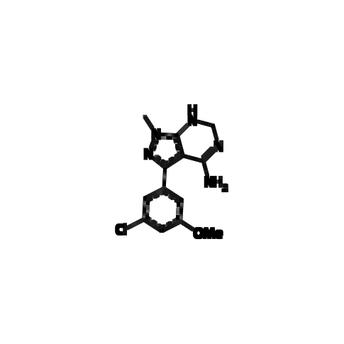 COc1cc(Cl)cc(-c2nn(C)c3c2C(N)=NCN3)c1